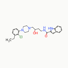 CCc1cccc(N2CCN(C[C@H](O)CCNC(=O)c3cc4ccccc4[nH]3)CC2)c1Cl